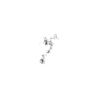 C[C@@H](COc1ccnc2c1[C@H](C)CCC2)C[C@H]1Cc2ccc(OCCCC(=O)NCCCc3cccc(-c4ccc5c(n4)OCCO5)c3)cc2C12CCC(Nc1cccc(Cl)c1)(C(=O)O)CC2